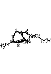 CCOn1cc2ccc(N)cc2n1